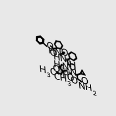 CC1(C)C[C@H]2[C@H](CN(C(=O)[C@@H](NC(=O)NC3(C(=O)OCc4ccccc4)CCCCC3)C3CCCCC3)[C@@H]2C(=O)NC(C(=O)C(N)=O)C2CC2)O1